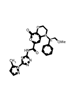 COC[C@@H](c1ccccc1)N1CCOc2c1cc(C(=O)Nc1nnc(-n3nccc3C)s1)oc2=O